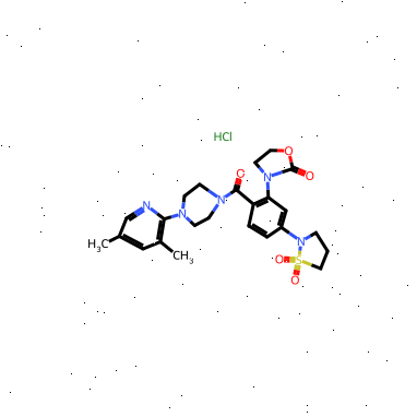 Cc1cnc(N2CCN(C(=O)c3ccc(N4CCCS4(=O)=O)cc3N3CCOC3=O)CC2)c(C)c1.Cl